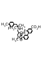 Cc1ccc(CC(C)(C)NCC(O)CN(C)S(=O)(=O)c2cccc(-c3ccc(C(=O)O)cc3F)c2)cc1F